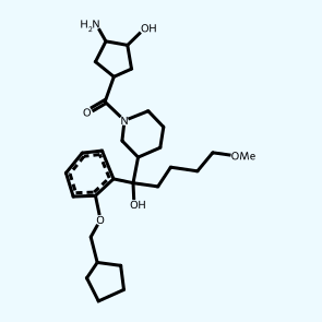 COCCCCC(O)(c1ccccc1OCC1CCCC1)C1CCCN(C(=O)C2CC(N)C(O)C2)C1